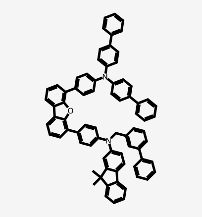 CC1(C)c2ccccc2-c2ccc(N(Cc3cccc(-c4ccccc4)c3)c3ccc(-c4cccc5c4oc4c(-c6ccc(N(c7ccc(-c8ccccc8)cc7)c7ccc(-c8ccccc8)cc7)cc6)cccc45)cc3)cc21